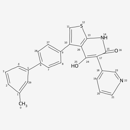 Cc1cccc(-c2ccc(-c3csc4[nH]c(=O)c(-c5cccnc5)c(O)c34)cc2)c1